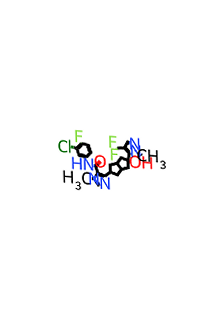 Cn1cnc(C2CC3CC(O)(c4c(C(F)F)cnn4C)CC3C2)c1C(=O)Nc1ccc(F)c(Cl)c1